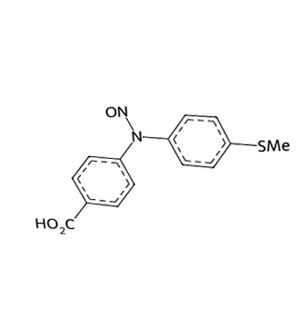 CSc1ccc(N(N=O)c2ccc(C(=O)O)cc2)cc1